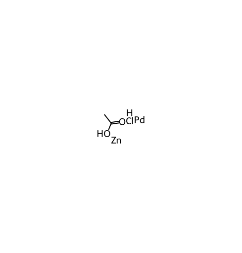 CC(=O)O.Cl.[Pd].[Zn]